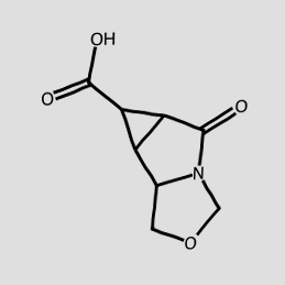 O=C(O)C1C2C(=O)N3COCC3C12